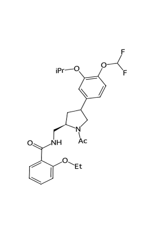 CCOc1ccccc1C(=O)NC[C@H]1CC(c2ccc(OC(F)F)c(OC(C)C)c2)CN1C(C)=O